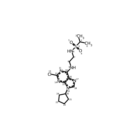 CC(C)S(=O)(=O)NCCNc1nc(Cl)nc2c1ncn2C1CCCC1